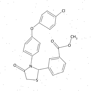 COC(=O)c1cccc(C2SCC(=O)N2c2ccc(Oc3ccc(Cl)cc3)cc2)c1